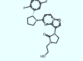 O=C1N(CCO)CCN1c1cnn2ccc(N3CCC[C@@H]3c3cc(F)ccc3F)nc12